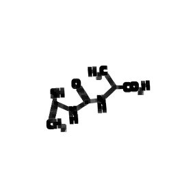 C=C(S)NC(=O)NC(C)C(=O)O